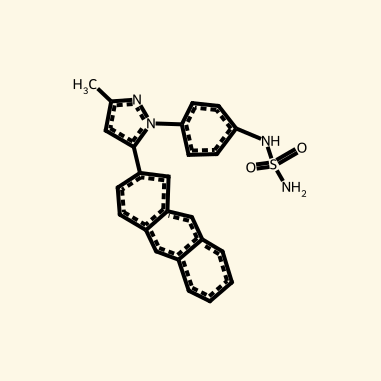 Cc1cc(-c2ccc3cc4ccccc4cc3c2)n(-c2ccc(NS(N)(=O)=O)cc2)n1